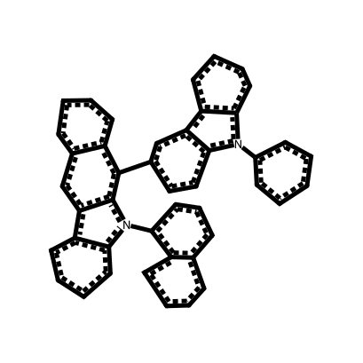 c1ccc(-n2c3ccccc3c3cc(-c4c5ccccc5cc5c6ccccc6n(-c6cccc7ccccc67)c45)ccc32)cc1